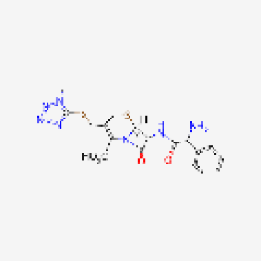 Cn1nnnc1SCC1=C(C(=O)O)N2C(=O)C(NC(=O)C(N)c3ccccc3)[C@@H]2SC1